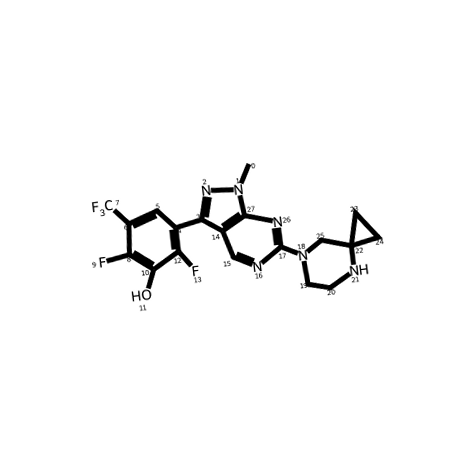 Cn1nc(-c2cc(C(F)(F)F)c(F)c(O)c2F)c2cnc(N3CCNC4(CC4)C3)nc21